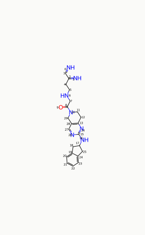 N=CC(=N)CCNCC(=O)N1CCc2nc(NC3Cc4ccccc4C3)ncc2C1